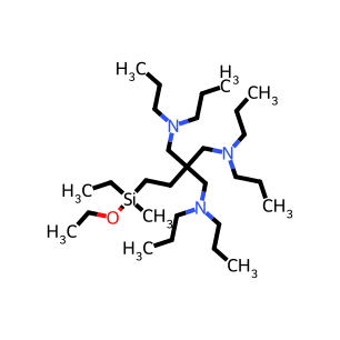 CCCN(CCC)CC(CC[Si](C)(CC)OCC)(CN(CCC)CCC)CN(CCC)CCC